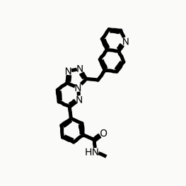 CNC(=O)c1cccc(-c2ccc3nnc(Cc4ccc5ncccc5c4)n3n2)c1